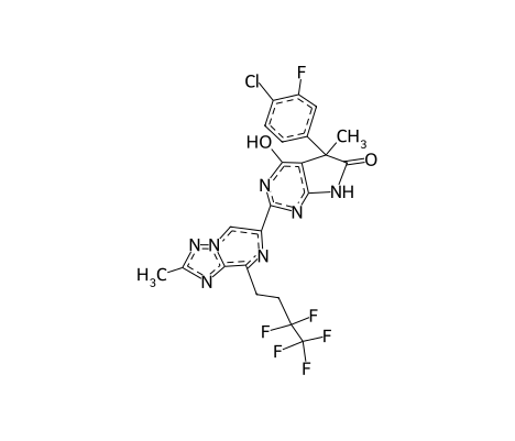 Cc1nc2c(CCC(F)(F)C(F)(F)F)nc(-c3nc(O)c4c(n3)NC(=O)C4(C)c3ccc(Cl)c(F)c3)cn2n1